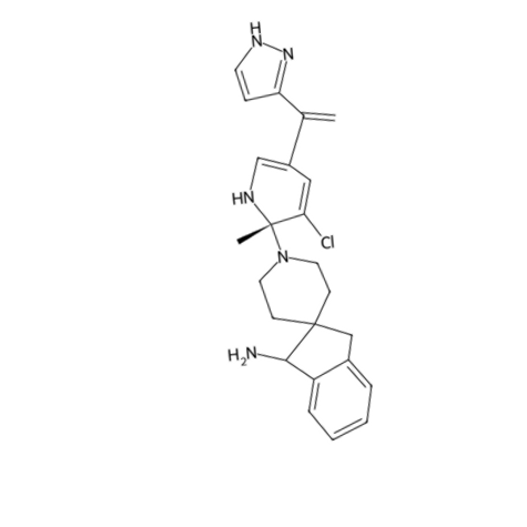 C=C(C1=CN[C@@](C)(N2CCC3(CC2)Cc2ccccc2C3N)C(Cl)=C1)c1cc[nH]n1